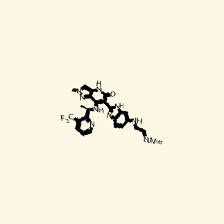 CNCCNc1ccc2nc(-c3c(N[C@H](C)c4ncccc4C(F)(F)F)c4nn(C)cc4[nH]c3=O)[nH]c2c1